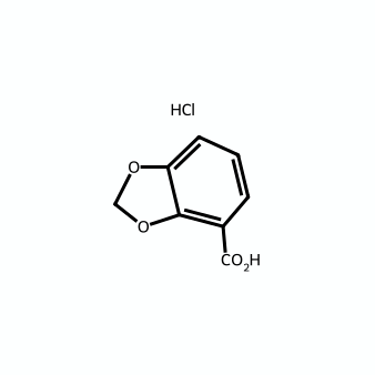 Cl.O=C(O)c1cccc2c1OCO2